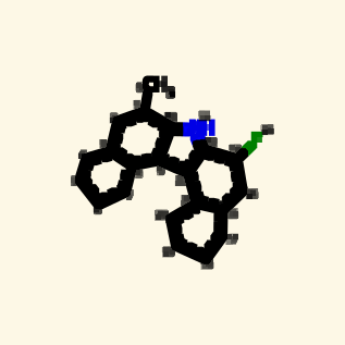 Cc1cc2ccccc2c2c1[nH]c1c(F)cc3ccccc3c12